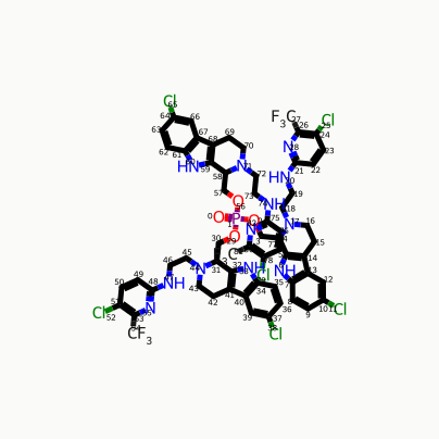 O=P(OCC1c2[nH]c3ccc(Cl)cc3c2CCN1CCNc1ccc(Cl)c(C(F)(F)F)n1)(OCC1c2[nH]c3ccc(Cl)cc3c2CCN1CCNc1ccc(Cl)c(C(F)(F)F)n1)OCC1c2[nH]c3ccc(Cl)cc3c2CCN1CCNc1ccc(Cl)c(C(F)(F)F)n1